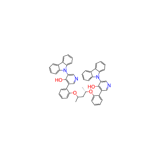 CC(C[C@H](C)Oc1ccccc1-c1cncc(-n2c3ccccc3c3ccccc32)c1O)Oc1ccccc1-c1cncc(-n2c3ccccc3c3ccccc32)c1O